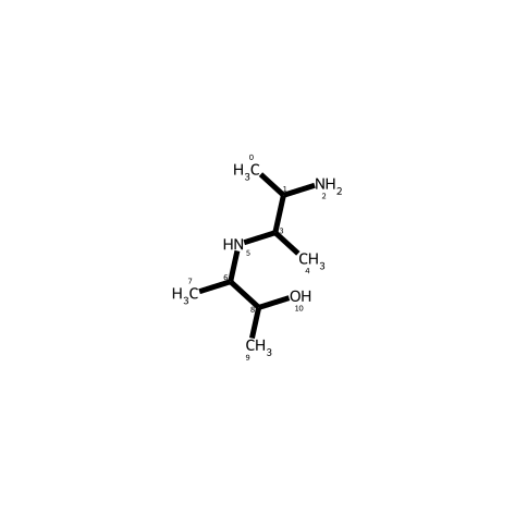 CC(N)C(C)NC(C)C(C)O